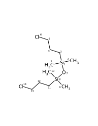 C[Si](C)(CCCCl)O[Si](C)(C)CCCCl